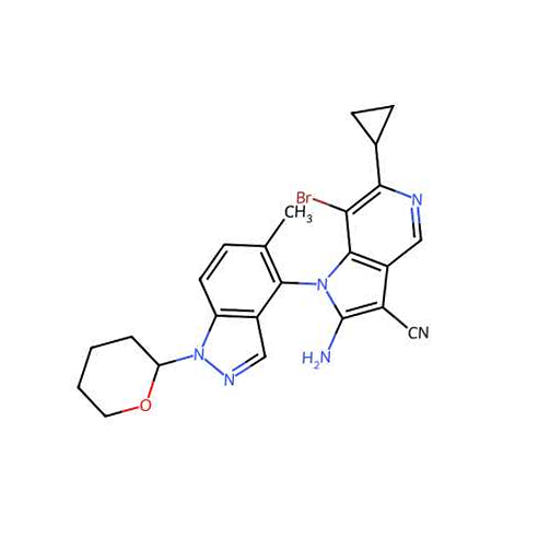 Cc1ccc2c(cnn2C2CCCCO2)c1-n1c(N)c(C#N)c2cnc(C3CC3)c(Br)c21